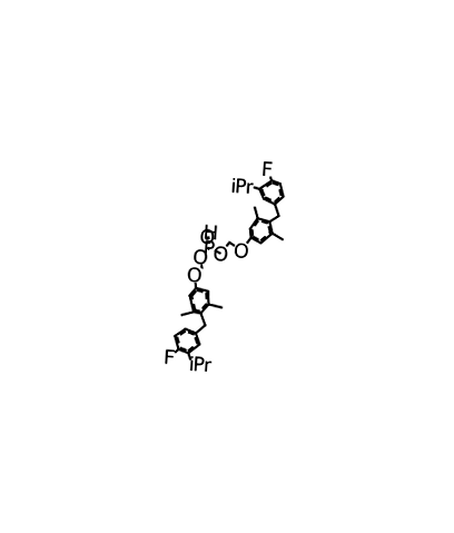 Cc1cc(OCO[PH](=O)OCOc2cc(C)c(Cc3ccc(F)c(C(C)C)c3)c(C)c2)cc(C)c1Cc1ccc(F)c(C(C)C)c1